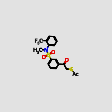 CC(=O)SCC(=O)c1cccc(S(=O)(=O)N(C)c2ccccc2C(F)(F)F)c1